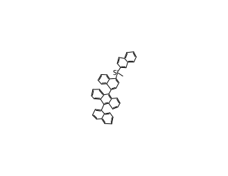 C[Si](C)(c1ccc2ccccc2c1)c1ccc(-c2c3ccccc3c(-c3cccc4ccccc34)c3ccccc23)c2ccccc12